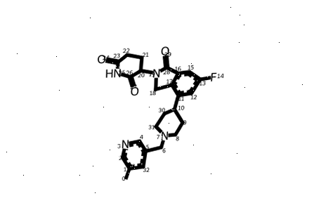 Cc1cncc(CN2CCC(c3cc(F)cc4c3CN(C3CCC(=O)NC3=O)C4=O)CC2)c1